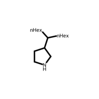 CCCCCCC(CCCCCC)C1CCNC1